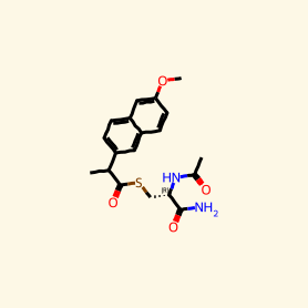 COc1ccc2cc(C(C)C(=O)SC[C@H](NC(C)=O)C(N)=O)ccc2c1